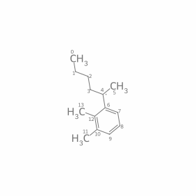 CCCC[C](C)c1cccc(C)c1C